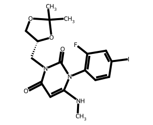 CNc1cc(=O)n(C[C@@H]2COC(C)(C)O2)c(=O)n1-c1ccc(I)cc1F